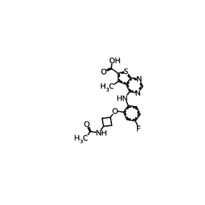 CC(=O)NC1CC(Oc2cc(F)ccc2Nc2ncnc3sc(C(=O)O)c(C)c23)C1